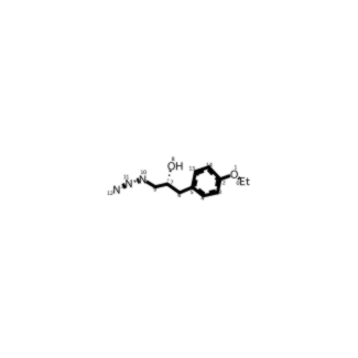 CCOc1ccc(C[C@@H](O)CN=[N+]=[N-])cc1